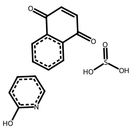 O=C1C=CC(=O)c2ccccc21.O=S(O)O.Oc1ccccn1